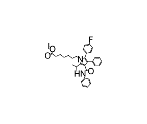 CC(C)c1c(C(=O)Nc2ccccc2)c(-c2ccccc2)c(-c2ccc(F)cc2)n1CCCCCCC(=O)OI